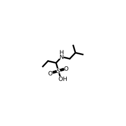 CCC(NCC(C)C)S(=O)(=O)O